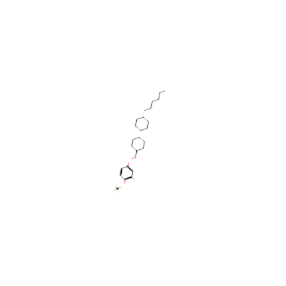 CCCCCC[C@H]1CC[C@H](C2CCC(COc3ccc(OC(F)(F)F)c(F)c3)CC2)CC1